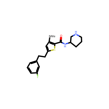 CNc1cc(CCc2cccc(F)c2)sc1C(=O)NC1CCCNC1